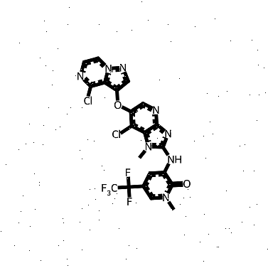 Cn1cc(C(F)(F)C(F)(F)F)cc(Nc2nc3ncc(Oc4cnn5ccnc(Cl)c45)c(Cl)c3n2C)c1=O